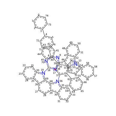 c1ccc(-c2ccc(-c3nc(-c4ccccc4)nc(-n4c5ccccc5c5ccc6c7ccccc7n(-c7cc(-c8ccccc8)c8c9ccccc9n(-c9ccccc9)c8c7-c7ccccc7)c6c54)n3)cc2)cc1